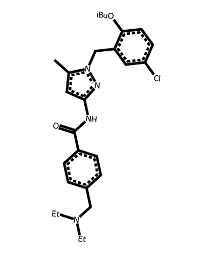 CCN(CC)Cc1ccc(C(=O)Nc2cc(C)n(Cc3cc(Cl)ccc3OCC(C)C)n2)cc1